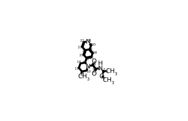 COC(C)NC(=O)C(=O)N1CC(C)CCC1c1ccc2cnccc2c1